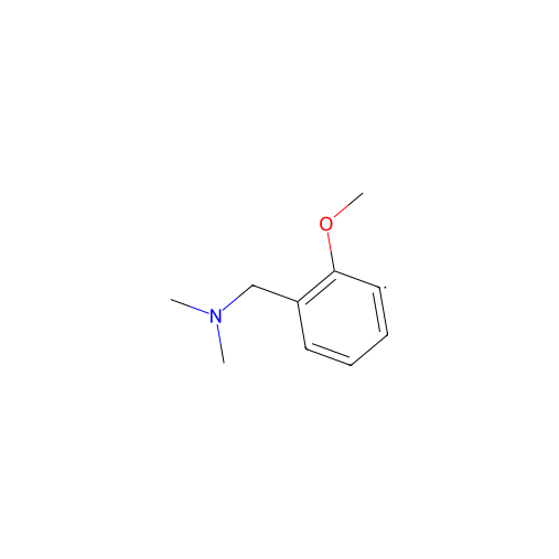 COc1[c]cccc1CN(C)C